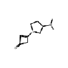 CN(C)C1CCN(C2=CC(=O)C2)C1